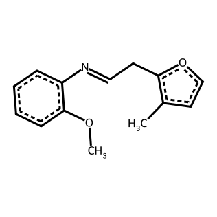 COc1ccccc1N=CCc1occc1C